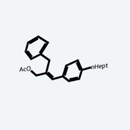 CCCCCCCc1ccc(C=C(COC(C)=O)Cc2ccccc2)cc1